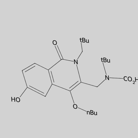 CCCCOc1c(CN(C(=O)O)C(C)(C)C)n(CC(C)(C)C)c(=O)c2ccc(O)cc12